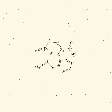 C=CCc1ccccc1.O=C(O)c1ccc(=O)oc1